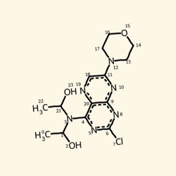 CC(O)N(c1nc(Cl)nc2nc(N3CCOCC3)cnc12)C(C)O